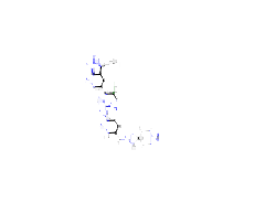 CCN1CCC2(CC1)CN(Cc1ccc(Nc3ncc(F)c(-c4cnc5nn(C)c(C(C)C)c5c4)n3)nc1)C2